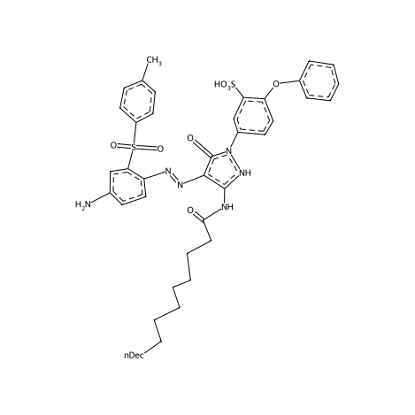 CCCCCCCCCCCCCCCCCC(=O)Nc1[nH]n(-c2ccc(Oc3ccccc3)c(S(=O)(=O)O)c2)c(=O)c1N=Nc1ccc(N)cc1S(=O)(=O)c1ccc(C)cc1